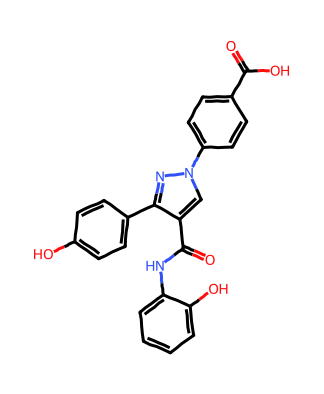 O=C(O)c1ccc(-n2cc(C(=O)Nc3ccccc3O)c(-c3ccc(O)cc3)n2)cc1